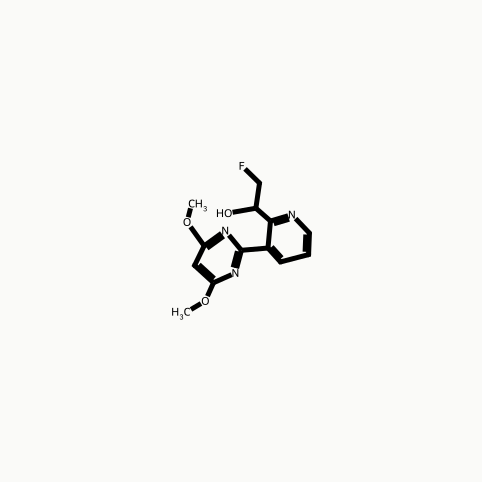 COc1cc(OC)nc(-c2cccnc2C(O)CF)n1